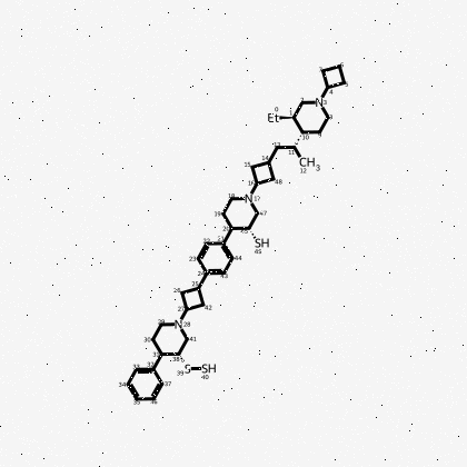 CC[C@H]1CN(C2CCC2)CC[C@@H]1C(C)CC1CC(N2CCC(c3ccc(C4CC(N5CCC(c6ccccc6)[C@@H](SS)C5)C4)cc3)[C@@H](S)C2)C1